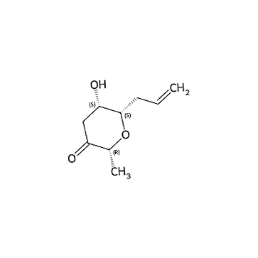 C=CC[C@@H]1O[C@H](C)C(=O)C[C@@H]1O